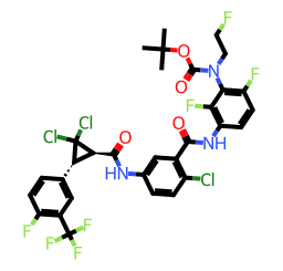 CC(C)(C)OC(=O)N(CCF)c1c(F)ccc(NC(=O)c2cc(NC(=O)[C@H]3[C@H](c4ccc(F)c(C(F)(F)F)c4)C3(Cl)Cl)ccc2Cl)c1F